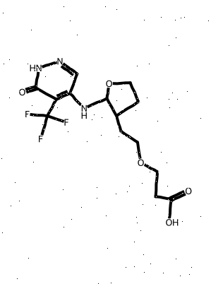 O=C(O)CCOCCC1CCOC1Nc1cn[nH]c(=O)c1C(F)(F)F